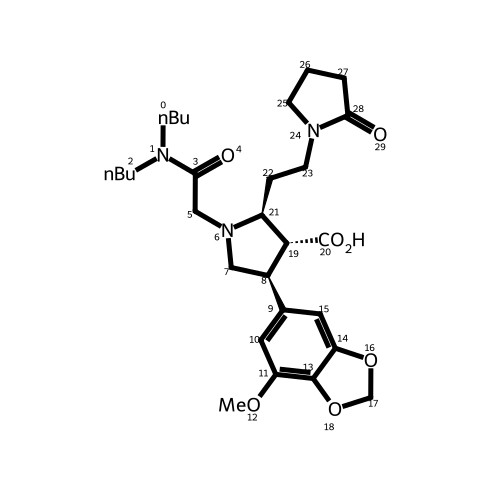 CCCCN(CCCC)C(=O)CN1C[C@H](c2cc(OC)c3c(c2)OCO3)[C@@H](C(=O)O)[C@@H]1CCN1CCCC1=O